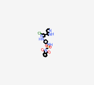 O=C1c2ccccc2C(=O)N1CCS(=O)(=O)N[C@H]1CC[C@H](Nc2cc(-c3c[nH]c4ncccc34)cc(Cl)n2)CC1